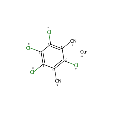 N#Cc1c(Cl)c(Cl)c(Cl)c(C#N)c1Cl.[Cu]